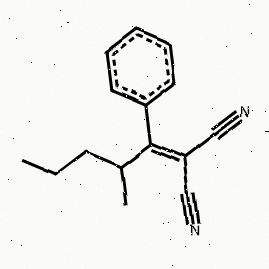 CCCC(C)C(=C(C#N)C#N)c1ccccc1